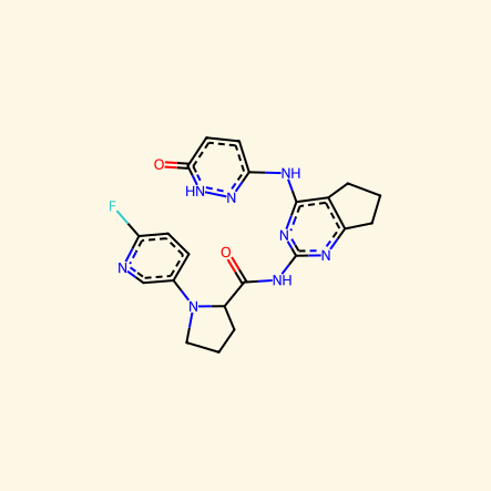 O=C(Nc1nc2c(c(Nc3ccc(=O)[nH]n3)n1)CCC2)C1CCCN1c1ccc(F)nc1